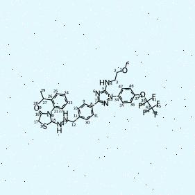 COCCNc1nc(-c2ccc(CNNC3SCC(=O)N3c3ccccc3C(C)C)cc2)nn1-c1ccc(OC(F)(F)C(F)(F)F)cc1